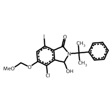 COCOc1cc(I)c2c(c1Cl)C(O)N(C(C)(C)c1ccccc1)C2=O